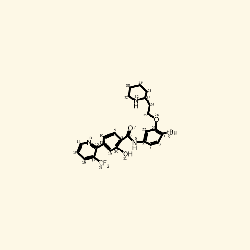 CC(C)(C)c1ccc(NC(=O)c2ccc(-c3ncccc3C(F)(F)F)cc2O)cc1OCCC1CCCCN1